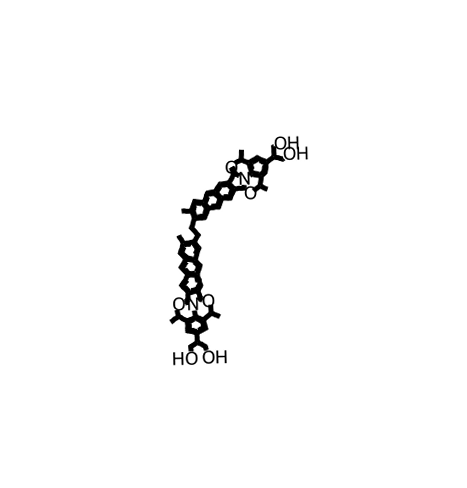 Cc1cc2cc3cc4c(cc3cc2cc1CCc1cc2cc3cc5c(cc3cc2cc1C)C(=O)N(c1c(C(C)C)cc(C(CO)CO)cc1C(C)C)C5=O)C(=O)N(c1c(C(C)C)cc(C(CO)CO)cc1C(C)C)C4=O